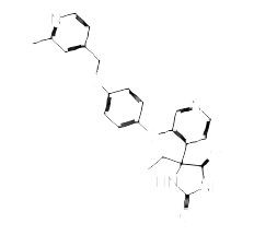 CCC1(c2ccncc2Sc2ccc(OCc3ccnc(C)c3)cc2)NC(=O)NC1=O